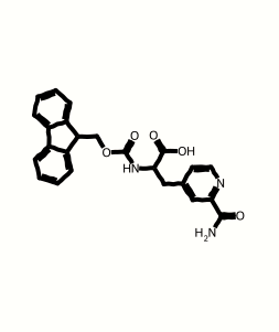 NC(=O)c1cc(CC(NC(=O)OCC2c3ccccc3-c3ccccc32)C(=O)O)ccn1